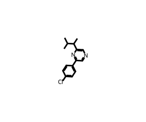 CC(C)C(C)c1cncc(-c2ccc(Cl)cc2)n1